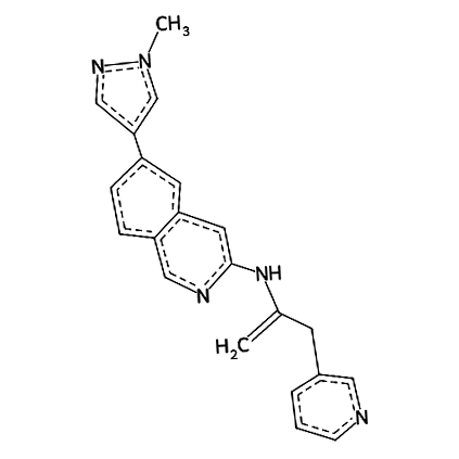 C=C(Cc1cccnc1)Nc1cc2cc(-c3cnn(C)c3)ccc2cn1